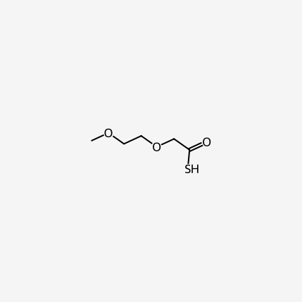 COCCOCC(=O)S